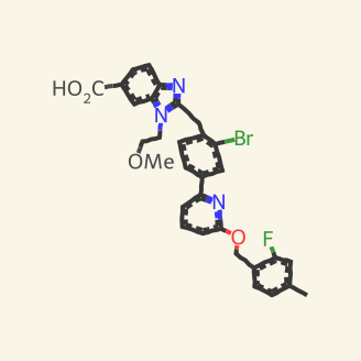 COCCn1c(Cc2ccc(-c3cccc(OCc4ccc(C)cc4F)n3)cc2Br)nc2ccc(C(=O)O)cc21